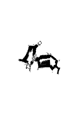 CCc1ccc(-n2[nH]c(C)cc2=O)cc1